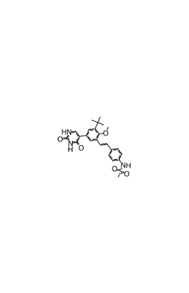 COc1c(/C=C/c2ccc(NS(C)(=O)=O)cc2)cc(-c2c[nH]c(=O)[nH]c2=O)cc1C(C)(C)C